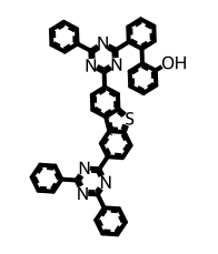 Oc1ccccc1-c1ccccc1-c1nc(-c2ccccc2)nc(-c2ccc3c(c2)sc2ccc(-c4nc(-c5ccccc5)nc(-c5ccccc5)n4)cc23)n1